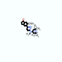 COc1cc2c(cc1C1C=CC(N(C)C3CC(C)(C)NC(C)(C)C3)=NN1)CCC2=O